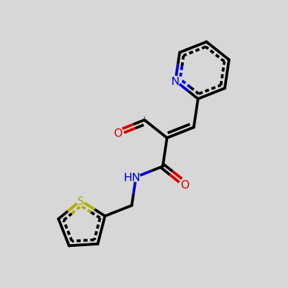 O=[C]/C(=C\c1ccccn1)C(=O)NCc1cccs1